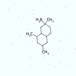 BC1(C)CCC2CC(C)CC(C)C2C1